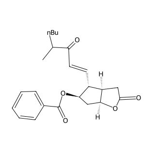 CCCCC(C)C(=O)/C=C/[C@@H]1[C@H]2CC(=O)O[C@H]2C[C@H]1OC(=O)c1ccccc1